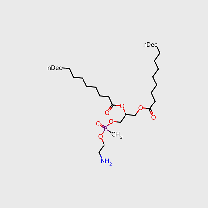 CCCCCCCCCCCCCCCCCC(=O)OCC(COP(C)(=O)OCCN)OC(=O)CCCCCCCCCCCCCCCCC